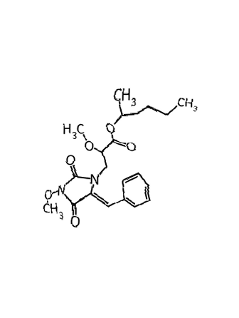 CCCCC(C)OC(=O)C(CN1C(=O)N(OC)C(=O)C1=Cc1ccccc1)OC